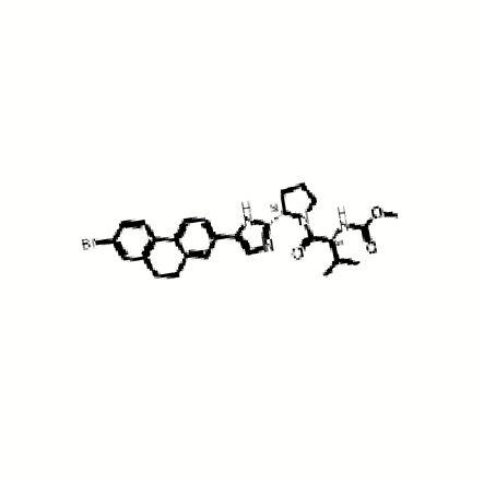 COC(=O)N[C@H](C(=O)N1CCC[C@H]1c1ncc(-c2ccc3c(c2)CCc2cc(Br)ccc2-3)[nH]1)C(C)C